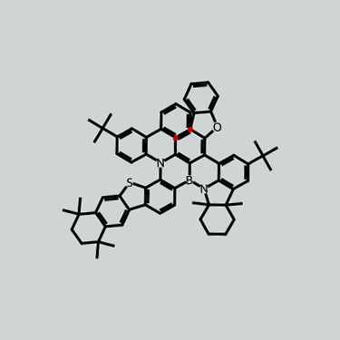 CC(C)(C)c1ccc(N2c3cc4c(oc5ccccc54)c4c3B(c3ccc5c(sc6cc7c(cc65)C(C)(C)CCC7(C)C)c32)N2c3c-4cc(C(C)(C)C)cc3C3(C)CCCCC23C)c(-c2ccccc2)c1